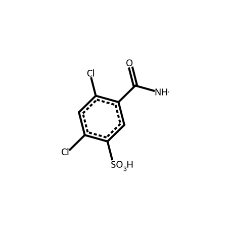 [NH]C(=O)c1cc(S(=O)(=O)O)c(Cl)cc1Cl